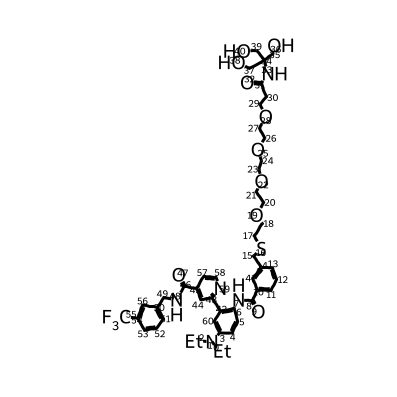 CCN(CC)c1ccc(NC(=O)c2cccc(CSCCOCCOCCOCCOCCC(=O)NC(CO)(CO)CO)c2)c(-c2cc(C(=O)NCc3cccc(C(F)(F)F)c3)ccn2)c1